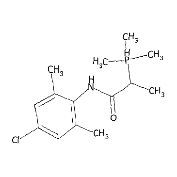 Cc1cc(Cl)cc(C)c1NC(=O)C(C)[PH](C)(C)C